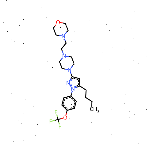 CCCCc1cc(N2CCN(CCN3CCOCC3)CC2)nn1-c1ccc(OC(F)(F)F)cc1